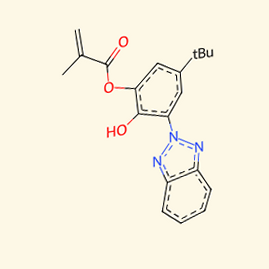 C=C(C)C(=O)Oc1cc(C(C)(C)C)cc(-n2nc3ccccc3n2)c1O